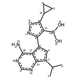 CC(C)n1cc(-c2noc(C3CC3)c2B(O)O)c2c(N)ncnc21